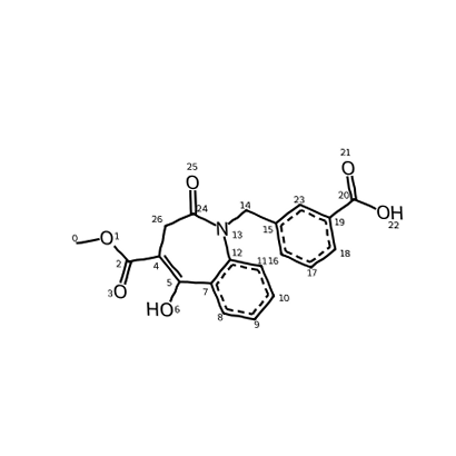 COC(=O)C1=C(O)c2ccccc2N(Cc2cccc(C(=O)O)c2)C(=O)C1